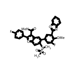 CNC(=O)c1c(-c2ccc(F)cc2)oc2cc(N(C)S(C)(=O)=O)c(-c3cc(F)c(OC)c(-c4nc5ccccc5o4)c3)cc12